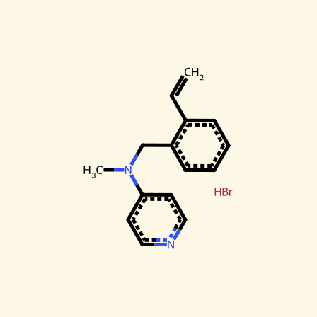 Br.C=Cc1ccccc1CN(C)c1ccncc1